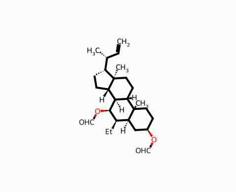 C=C[C@@H](C)[C@H]1CC[C@H]2[C@@H]3[C@H](OC=O)[C@H](CC)[C@@H]4C[C@H](OC=O)CC[C@]4(C)[C@H]3CC[C@]12C